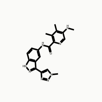 CNc1cnc(C(=O)Nc2ccc3[nH]nc(-c4cn(C)nn4)c3c2)c(C)c1C